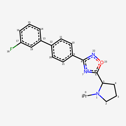 CC(C)N1CCCC1c1nc(-c2ccc(-c3cccc(F)c3)cc2)no1